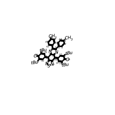 Cc1ccc(-c2nc3c(=C4C=C(C(C)(C)C)C(=O)C(C(C)(C)C)=C4)c4nsnc4c(=C4C=C(C(C)(C)C)C(=O)C(C(C)(C)C)=C4)c3nc2-c2ccc(C)cc2)cc1